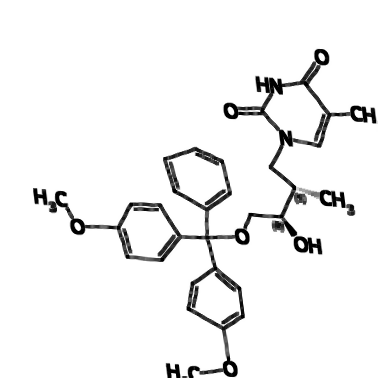 COc1ccc(C(OC[C@H](O)[C@@H](C)Cn2cc(C)c(=O)[nH]c2=O)(c2ccccc2)c2ccc(OC)cc2)cc1